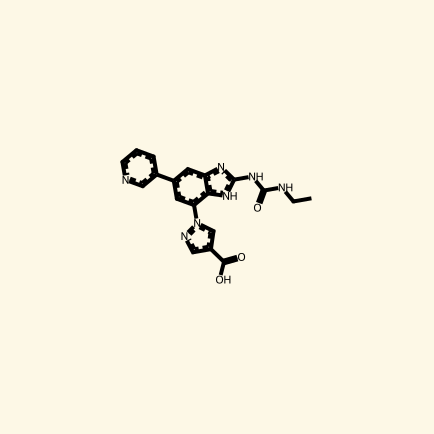 CCNC(=O)Nc1nc2cc(-c3cccnc3)cc(-n3cc(C(=O)O)cn3)c2[nH]1